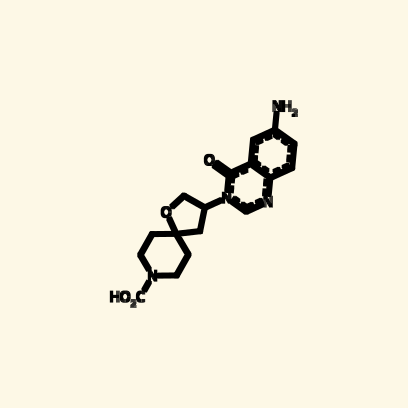 Nc1ccc2ncn(C3COC4(CCN(C(=O)O)CC4)C3)c(=O)c2c1